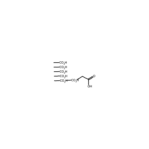 CC(=O)O.CC(=O)O.CC(=O)O.CC(=O)O.CC(=O)O.CC(=O)O.CCC(=O)O